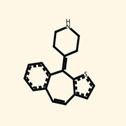 C1=Cc2ccsc2C(=C2CCNCC2)c2ccccc21